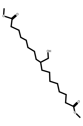 COC(=O)CCCCCCCC(CO)CCCCCCCC(=O)OC